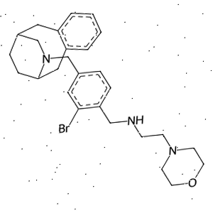 Brc1cc(CN2CC3CCC2Cc2ccccc2C3)ccc1CNCCN1CCOCC1